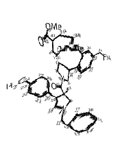 COC[C@H]1CN(C(=O)[C@]2(F)CN(Cc3ccccc3)C[C@H]2c2ccc(C)cc2)CC1c1ccc(CF)cc1N1CCC(C(=O)OC)CC1